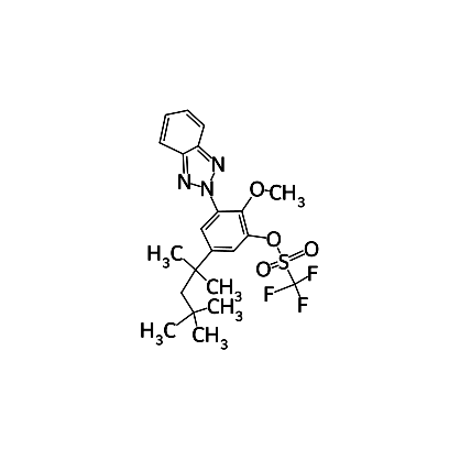 COc1c(OS(=O)(=O)C(F)(F)F)cc(C(C)(C)CC(C)(C)C)cc1-n1nc2ccccc2n1